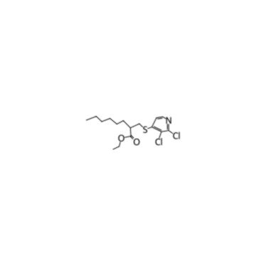 CCCCCCC(CSc1ccnc(Cl)c1Cl)C(=O)OCC